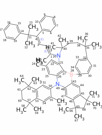 C/C(=C\C=C(/c1ccccc1)C(C)(C)c1ccccc1)N1c2cc(C)cc3c2B(c2ccc(cc2)C(C)(C)CCC1(C)C)c1cc2c(cc1N3c1cc3c(cc1C)C(C)(C)CCC3(C)C)C(C)(C)CC2(C)C